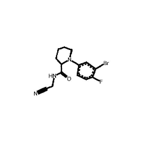 N#CCNC(=O)C1CCCCN1c1ccc(F)c(Br)c1